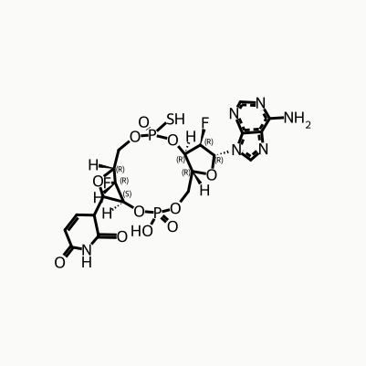 Nc1ncnc2c1ncn2[C@@H]1O[C@@H]2COP(=O)(O)O[C@H]3C(C4C=CC(=O)NC4=O)O[C@H](COP(=O)(S)O[C@H]2[C@H]1F)[C@H]3F